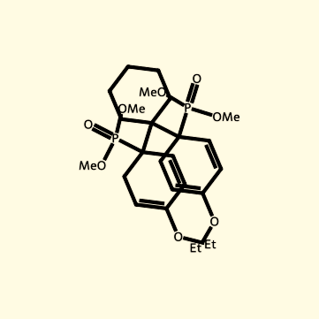 CCOC1=CCC(C2(C3(P(=O)(OC)OC)C=CC(OCC)=CC3)CCCCC2)(P(=O)(OC)OC)C=C1